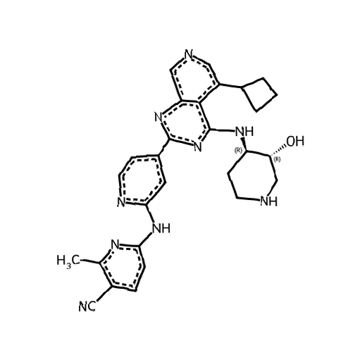 Cc1nc(Nc2cc(-c3nc(N[C@@H]4CCNC[C@H]4O)c4c(C5CCC5)cncc4n3)ccn2)ccc1C#N